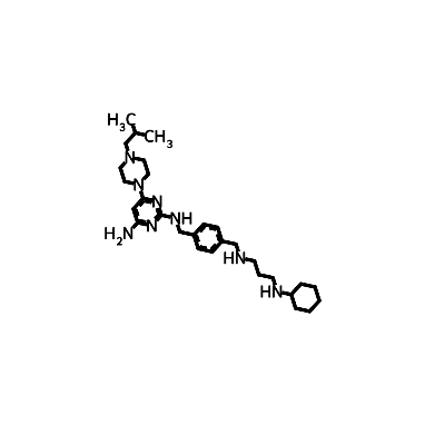 CC(C)CN1CCN(c2cc(N)nc(NCc3ccc(CNCCCNC4CCCCC4)cc3)n2)CC1